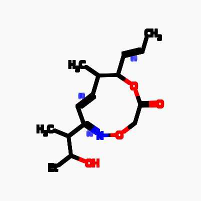 C/C=C/C1OC(=O)CO/N=C(C(C)C(O)CC)\C=C\C1C